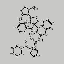 CC1CCC(O)C1N1CCC(Cc2ccccc2)(CC(O)C(Cc2ccccc2)NC(=O)C2C3C=CC(C3)C2C(=O)N2CCOCC2)C1=O